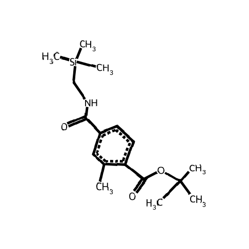 Cc1cc(C(=O)NC[Si](C)(C)C)ccc1C(=O)OC(C)(C)C